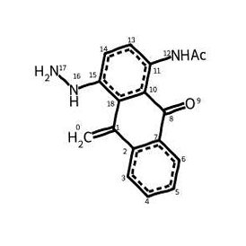 C=C1c2ccccc2C(=O)c2c(NC(C)=O)ccc(NN)c21